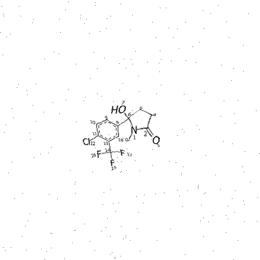 CN1C(=O)CCC1(O)c1ccc(Cl)c(C(F)(F)F)c1